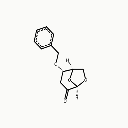 O=C1C[C@H](OCc2ccccc2)[C@H]2CO[C@@H]1O2